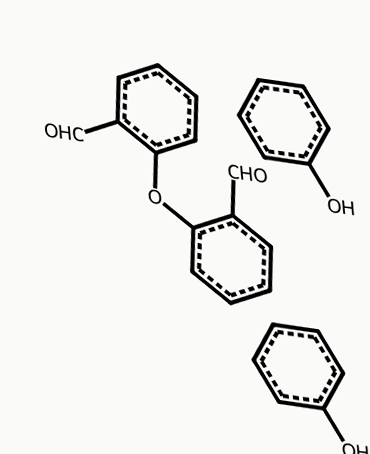 O=Cc1ccccc1Oc1ccccc1C=O.Oc1ccccc1.Oc1ccccc1